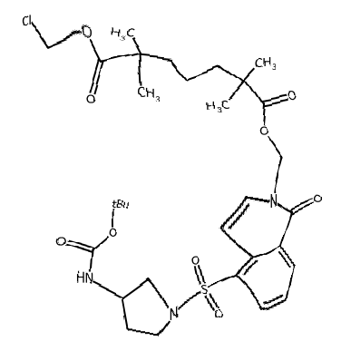 CC(C)(C)OC(=O)NC1CCN(S(=O)(=O)c2cccc3c(=O)n(COC(=O)C(C)(C)CCCC(C)(C)C(=O)OCCl)ccc23)C1